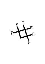 FC1(F)[CH]C(F)(F)C1(F)F